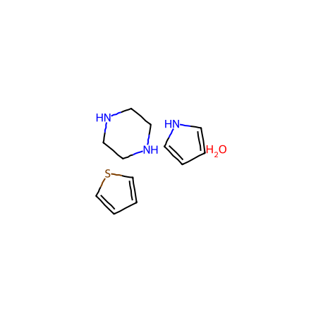 C1CNCCN1.O.c1cc[nH]c1.c1ccsc1